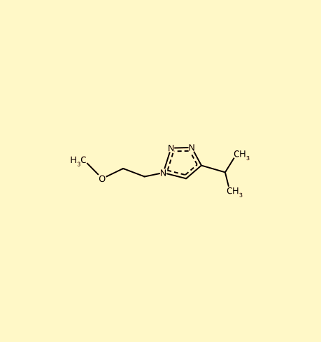 COCCn1cc(C(C)C)nn1